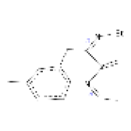 C=C(/N=C\C)/C(Cc1cccc(C)c1)=N\CC